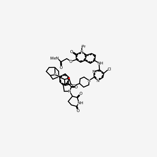 CNC(=O)COc1cc2cc(Nc3nc(N4CCC(OC5CC(N6CC7CCC(C6)N7c6ccc7c(c6)CN(C6CCC(=O)NC6=O)C7=O)C5)CC4)ncc3Cl)ccc2n(C(C)C)c1=O